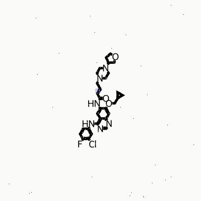 O=C(/C=C/CN1CCN(C2CCOC2)CC1)Nc1cc2c(Nc3ccc(F)c(Cl)c3)ncnc2cc1OCC1CC1